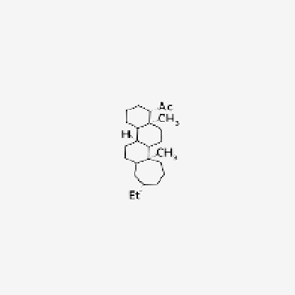 CC[C@H]1CCC[C@@]2(C)C(CC[C@@H]3C2CC[C@@]2(C)C3CCC[C@@H]2C(C)=O)C1